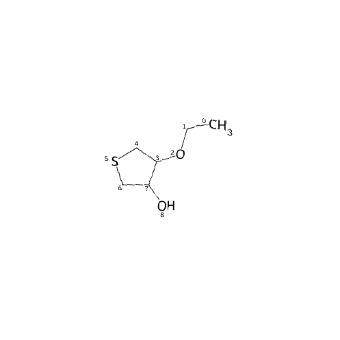 CCOC1CSCC1O